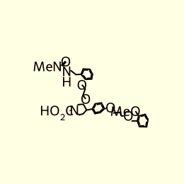 CNC(=O)NCCc1ccccc1OCCOC1CN(C(=O)O)CCC1c1ccc(OCCCOCc2ccccc2OC)cc1